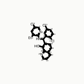 CCc1cc(Cl)cnc1NC(c1cc(Cl)ccc1Cl)c1ccc2cccnc2c1O